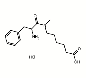 CN(CCCCCC(=O)O)C(=O)C(N)Cc1ccccc1.Cl